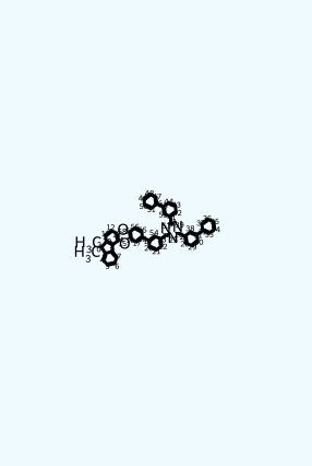 CC1(C)c2ccccc2-c2c1ccc1c2Oc2cc(-c3cccc(-c4nc(-c5cccc(-c6ccccc6)c5)nc(-c5cccc(-c6ccccc6)c5)n4)c3)ccc2O1